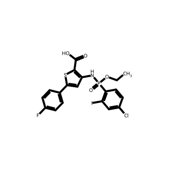 CCOP(=O)(Nc1cc(-c2ccc(F)cc2)sc1C(=O)O)c1ccc(Cl)cc1I